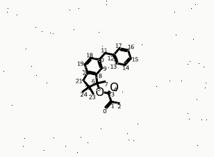 C=C(C)C(=O)OC1(C)c2cc(Cc3ccccc3)ccc2CC1(C)C